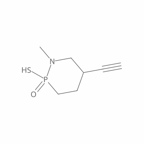 C#CC1CCP(=O)(S)N(C)C1